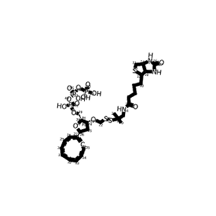 CC(C)(CNC(=O)CCCCC1SCC2NC(=O)NC21)SSCO[C@@H]1C[C@H](c2ccccccccc2)O[C@@H]1COP(=O)(O)OP(=O)(O)OP(=O)(O)O